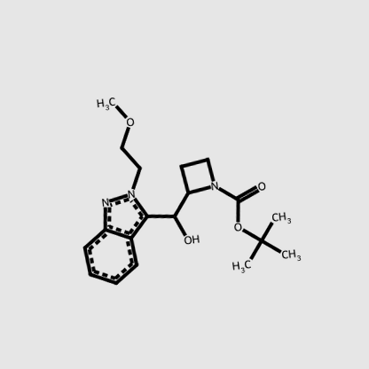 COCCn1nc2ccccc2c1C(O)C1CCN1C(=O)OC(C)(C)C